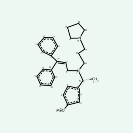 COc1ccc([C@@H](C)N(CC=C(c2ccccc2)c2ccccc2)CCCN2CCCC2)cc1